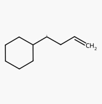 C=CC[CH]C1CCCCC1